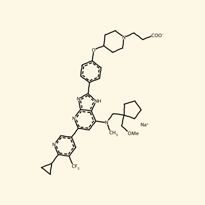 COCC1(CN(C)c2cc(-c3cnc(C4CC4)c(C(F)(F)F)c3)nc3nc(-c4ccc(OC5CCN(CCC(=O)[O-])CC5)cc4)[nH]c23)CCCC1.[Na+]